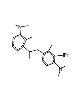 Cc1c(C(C)Cc2ccc(N(C)C)c(C(C)C)c2C)cccc1N(C)C